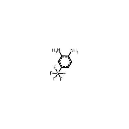 Nc1ccc(S(F)(F)(F)(F)F)cc1N